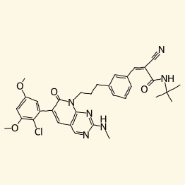 CNc1ncc2cc(-c3cc(OC)cc(OC)c3Cl)c(=O)n(CCCc3cccc(C=C(C#N)C(=O)NC(C)(C)C)c3)c2n1